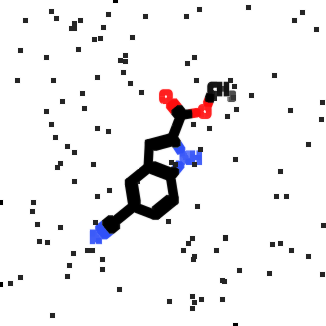 COC(=O)c1cc2cc(C#N)ccc2[nH]1